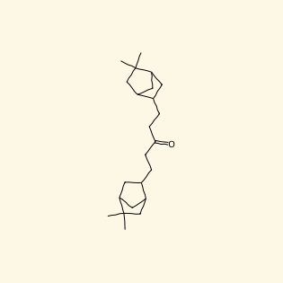 CC1(C)CC2CC1CC2CCC(=O)CCC1CC2CC1CC2(C)C